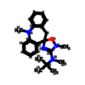 CN1OC2(Cc3ccccc3N(C)c3ccccc32)N=C1N(C)C(C)(C)C